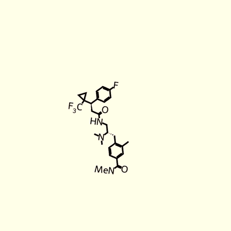 CNC(=O)c1ccc(C[C@@H](CNC(=O)C[C@H](c2ccc(F)cc2)C2(C(F)(F)F)CC2)N(C)C)c(C)c1